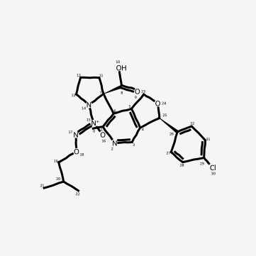 Cc1ncc2c(c1[C@@]1(C(=O)O)CCCN1[N+]([O-])=NOCC(C)C)CO[C@H]2c1ccc(Cl)cc1